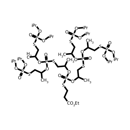 CCOC(=O)CCSP(=O)(OC(C)CSP(=O)(OC(C)CSP(=O)(OC(C)C)OC(C)C)OC(C)CSP(=O)(OC(C)C)OC(C)C)OC(C)CSP(=O)(OC(C)CSP(=O)(OC(C)C)OC(C)C)OC(C)CSP(=O)(OC(C)C)OC(C)C